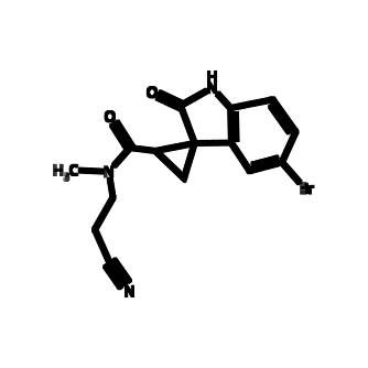 CN(CCC#N)C(=O)C1CC12C(=O)Nc1ccc(Br)cc12